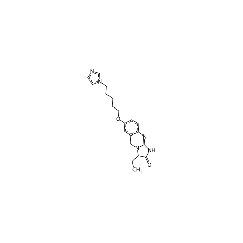 CCC1C(=O)NC2=Nc3ccc(OCCCCCn4ccnc4)cc3CN21